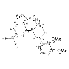 COc1ccnc(N2CC=C(C)[C@H](c3cc(C(F)F)nc4ncnn34)C2)c1OC